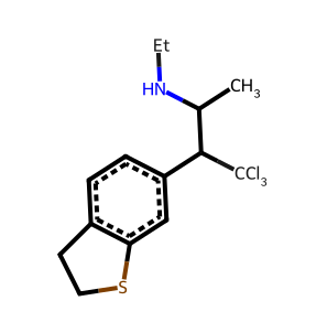 CCNC(C)C(c1ccc2c(c1)SCC2)C(Cl)(Cl)Cl